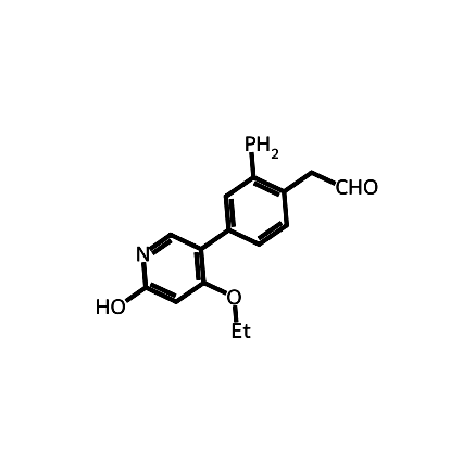 CCOc1cc(O)ncc1-c1ccc(CC=O)c(P)c1